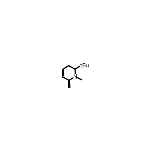 C=C1C=CCC(C(C)(C)C)N1C